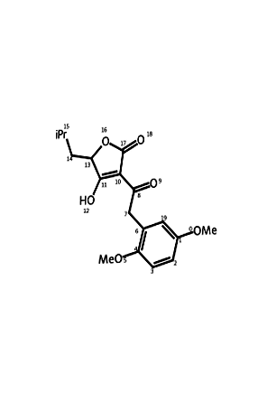 COc1ccc(OC)c(CC(=O)C2=C(O)C(CC(C)C)OC2=O)c1